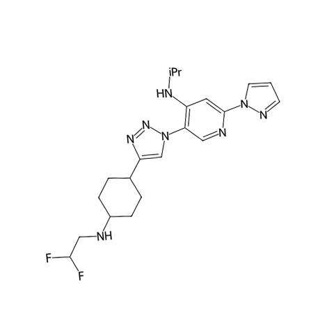 CC(C)Nc1cc(-n2cccn2)ncc1-n1cc(C2CCC(NCC(F)F)CC2)nn1